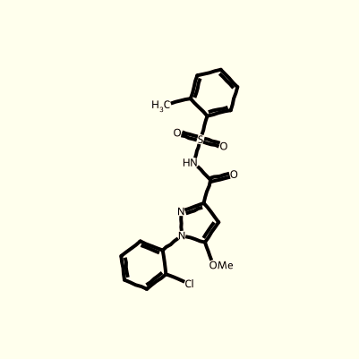 COc1cc(C(=O)NS(=O)(=O)c2ccccc2C)nn1-c1ccccc1Cl